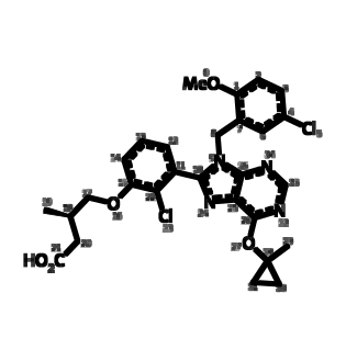 COc1ccc(Cl)cc1Cn1c(-c2cccc(OC[C@H](C)CC(=O)O)c2Cl)nc2c(OC3(C)CC3)ncnc21